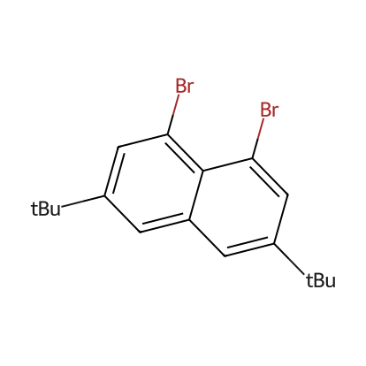 CC(C)(C)c1cc(Br)c2c(Br)cc(C(C)(C)C)cc2c1